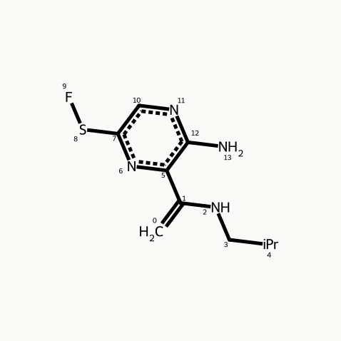 C=C(NCC(C)C)c1nc(SF)cnc1N